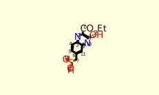 CCOC(=O)c1nc2ccc(C[SH](=O)=O)cc2nc1O